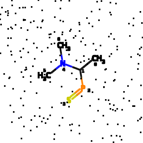 CC(P=S)N(C)C